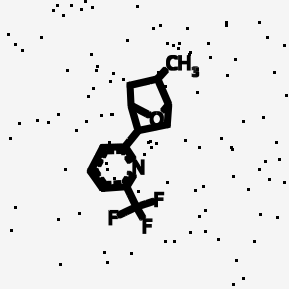 CC1CC2OC1CC2c1cccc(C(F)(F)F)n1